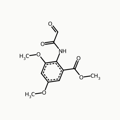 COC(=O)c1cc(OC)cc(OC)c1NC(=O)C=O